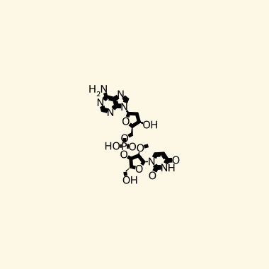 CO[C@H]1C(OP(=O)(O)OC[C@H]2O[C@@H](n3cnc4c(N)ncnc43)C[C@H]2O)[C@@H](CO)O[C@H]1n1ccc(=O)[nH]c1=O